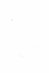 CCCC(N)(CC)CCO